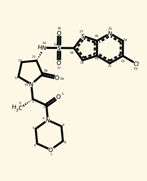 C[C@@H](C(=O)N1CCOCC1)N1CC[C@H](NS(=O)(=O)c2cc3cc(Cl)cnc3s2)C1=O